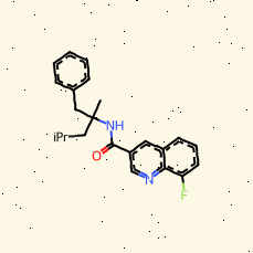 CC(C)CC(C)(Cc1ccccc1)NC(=O)c1cnc2c(F)cccc2c1